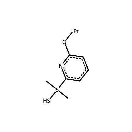 CC(C)Oc1cccc(S(C)(C)S)n1